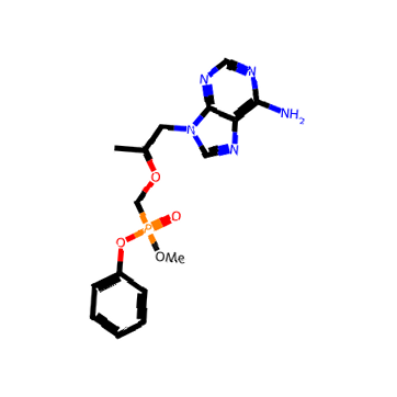 [CH2]OP(=O)(COC(C)Cn1cnc2c(N)ncnc21)Oc1ccccc1